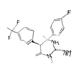 C=C1[C@@H](c2ccc(C(C)(F)F)cc2)[C@@](C)(c2ccc(F)cc2)NC(=N)N1C